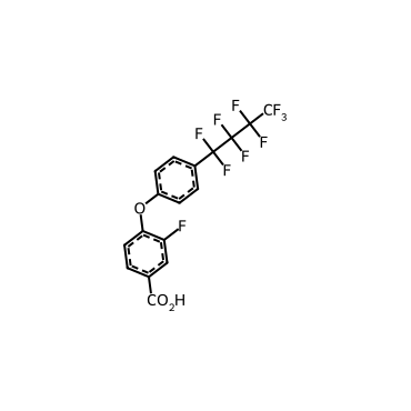 O=C(O)c1ccc(Oc2ccc(C(F)(F)C(F)(F)C(F)(F)C(F)(F)F)cc2)c(F)c1